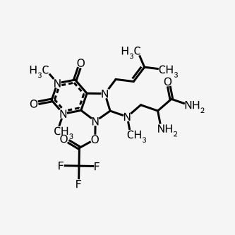 CC(C)=CCN1c2c(n(C)c(=O)n(C)c2=O)N(OC(=O)C(F)(F)F)C1N(C)CC(N)C(N)=O